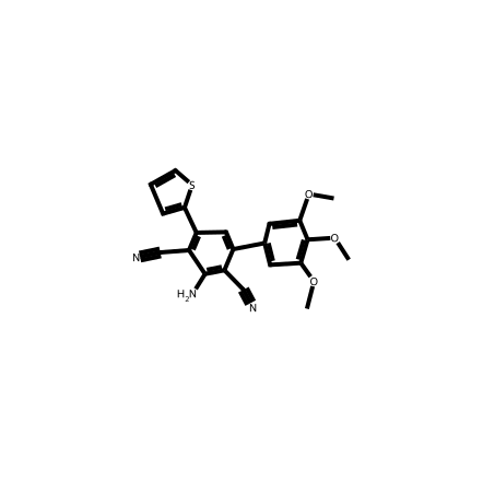 COc1cc(-c2cc(-c3cccs3)c(C#N)c(N)c2C#N)cc(OC)c1OC